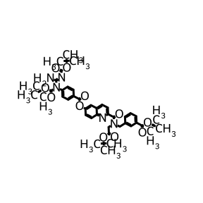 CC(C)(C)OC(=O)CN(Cc1cccc(C(=O)OC(C)(C)C)c1)C(=O)c1ccc2cc(OC(=O)c3ccc(N(C(=O)OC(C)(C)C)C(N)=NC(=O)OC(C)(C)C)cc3)ccc2n1